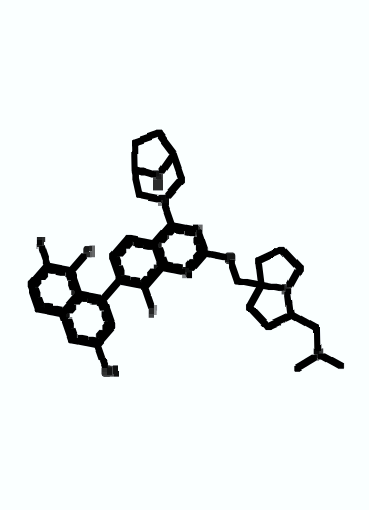 CN(C)CC1CCC2(COc3nc(N4CC5CCC(C4)N5)c4ccc(-c5cc(O)cc6ccc(F)c(Cl)c56)c(F)c4n3)CCCN12